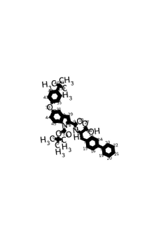 CC(C)(C)OC(=O)n1c(C(=O)NC(Cc2ccc(-c3ccccc3)cc2)C(=O)O)cc2cc(Oc3ccc(C(C)(C)C)cc3)ccc21